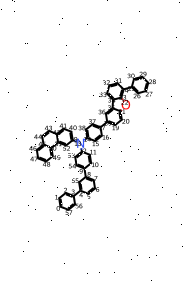 c1ccc(-c2cccc(-c3ccc(N(c4ccc(-c5ccc6oc7c(-c8ccccc8)cccc7c6c5)cc4)c4ccc5ccc6ccccc6c5c4)cc3)c2)cc1